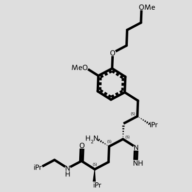 COCCCOc1cc(C[C@@H](C[C@H](N=N)[C@@H](N)C[C@H](C(=O)NCC(C)C)C(C)C)C(C)C)ccc1OC